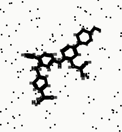 CCN1CCN(c2ccc(Nc3ncc(C#N)c(Nc4ccc(C(N)=O)cc4)n3)c(OC(N)=O)c2)CC1